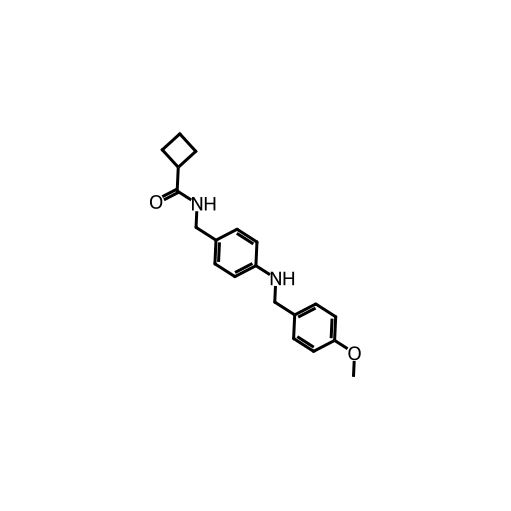 COc1ccc(CNc2ccc(CNC(=O)C3CCC3)cc2)cc1